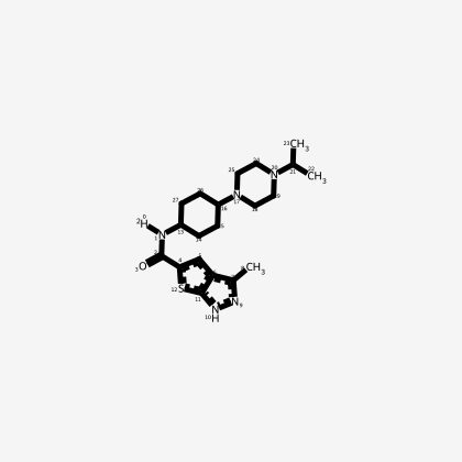 [2H]N(C(=O)c1cc2c(C)n[nH]c2s1)C1CCC(N2CCN(C(C)C)CC2)CC1